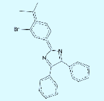 CC(C)=c1ccc(=C2N=C(c3ccccc3)C(c3ccccc3)=N2)cc1Br